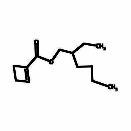 CCCCC(CC)COC(=O)C1=CCC1